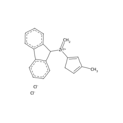 [CH2]=[Zr+2]([C]1=CC(C)=CC1)[CH]1c2ccccc2-c2ccccc21.[Cl-].[Cl-]